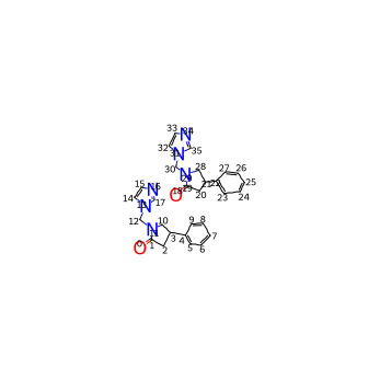 O=C1CC(c2ccccc2)CN1Cn1ccnc1.O=C1CC(c2ccccc2)CN1Cn1ccnc1